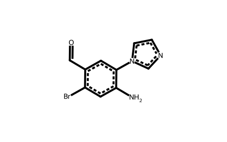 Nc1cc(Br)c(C=O)cc1-n1ccnc1